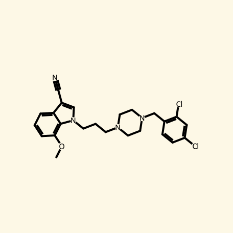 COc1cccc2c(C#N)cn(CCCN3CCN(Cc4ccc(Cl)cc4Cl)CC3)c12